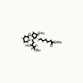 CCCCC(F)(F)C(O)CC[C@@H]1[C@@H](CCCCCCC(=O)OC)[C@@H](OC(C)=O)C[C@H]1OC1CCCCO1